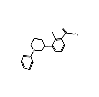 Cc1c(C(N)=O)cccc1C1CCCN(c2ccccc2)C1